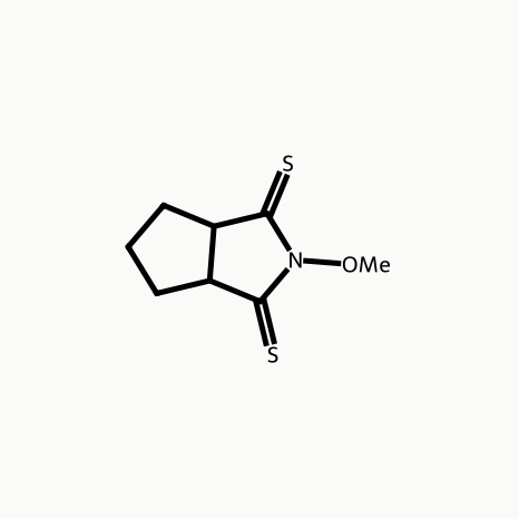 CON1C(=S)C2CCCC2C1=S